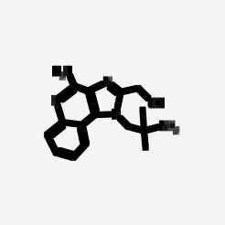 CC(C)(N)Cn1c(CO)nc2c(N)nc3ccccc3c21